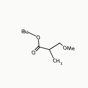 [CH2]CC(C)OC(=O)C(C)COC